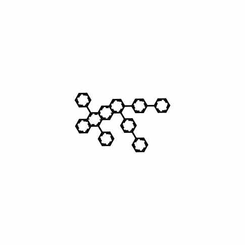 c1ccc(-c2ccc(-c3ccc4cc5c(-c6ccccc6)c6ccccc6c(-c6ccccc6)c5cc4c3-c3ccc(-c4ccccc4)cc3)cc2)cc1